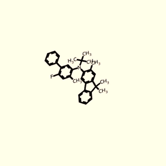 Cc1cc(F)c(-c2ccccc2)cc1N(c1cc2c(cc1C)C(C)(C)c1ccccc1-2)C(C)(C)C